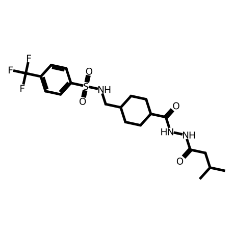 CC(C)CC(=O)NNC(=O)C1CCC(CNS(=O)(=O)c2ccc(C(F)(F)F)cc2)CC1